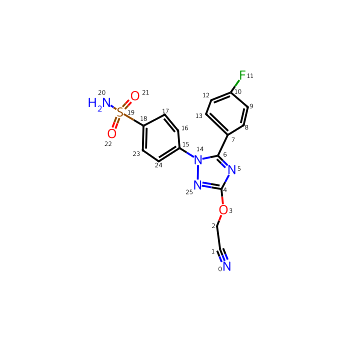 N#CCOc1nc(-c2ccc(F)cc2)n(-c2ccc(S(N)(=O)=O)cc2)n1